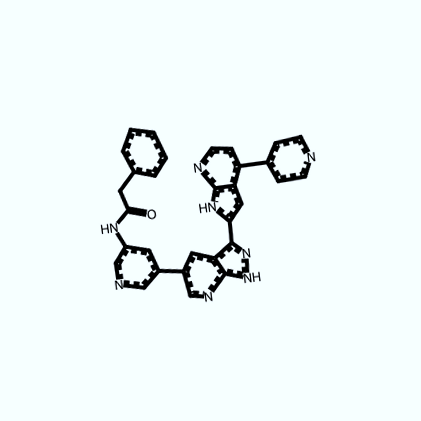 O=C(Cc1ccccc1)Nc1cncc(-c2cnc3[nH]nc(-c4cc5c(-c6ccncc6)ccnc5[nH]4)c3c2)c1